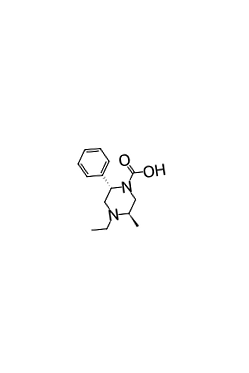 CCN1C[C@H](c2ccccc2)N(C(=O)O)C[C@H]1C